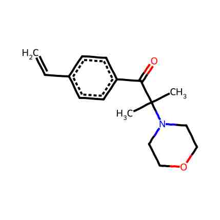 C=Cc1ccc(C(=O)C(C)(C)N2CCOCC2)cc1